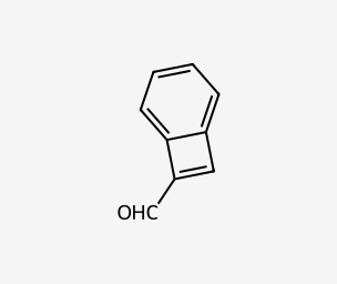 O=CC1=Cc2ccccc21